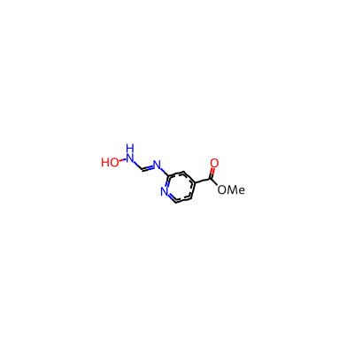 COC(=O)c1ccnc(/N=C/NO)c1